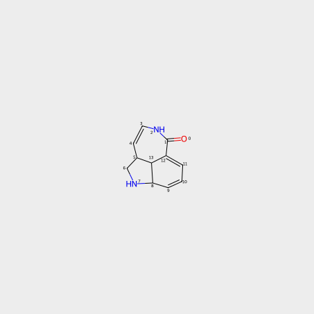 O=C1NC=CC2CNC3C=CC=C1C23